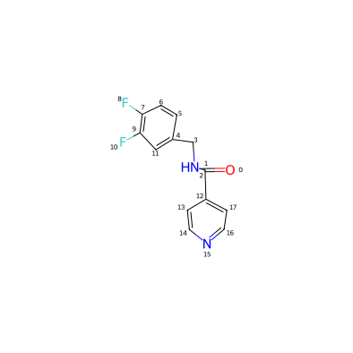 O=C(NCc1ccc(F)c(F)c1)c1ccncc1